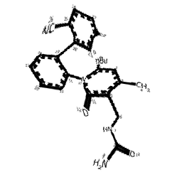 CCCCc1cc(C)c(CNC(N)=O)c(=O)n1-c1ccccc1-c1ccccc1C#N